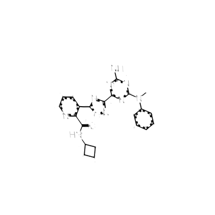 CN(c1ccccc1)c1nc(N)nc(-c2noc(-c3cccnc3C(=O)NC3CCC3)n2)n1